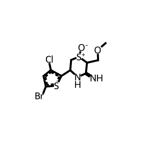 COCC1C(=N)NC(c2sc(Br)cc2Cl)C[S+]1[O-]